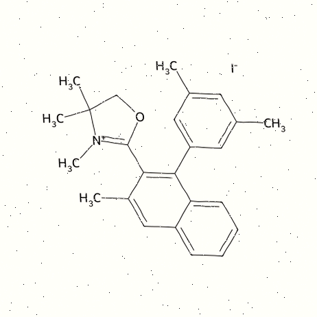 Cc1cc(C)cc(-c2c(C3=[N+](C)C(C)(C)CO3)c(C)cc3ccccc23)c1.[I-]